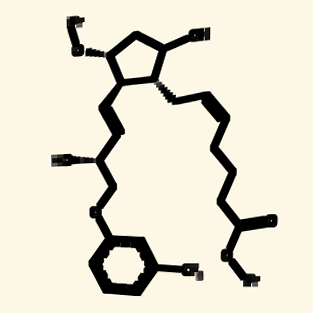 CC(C)OC(=O)CCC/C=C\C[C@H]1C(O)C[C@@H](OC(C)C)[C@@H]1/C=C/[C@@H](O)COc1cccc(C(F)(F)F)c1